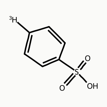 [3H]c1ccc(S(=O)(=O)O)cc1